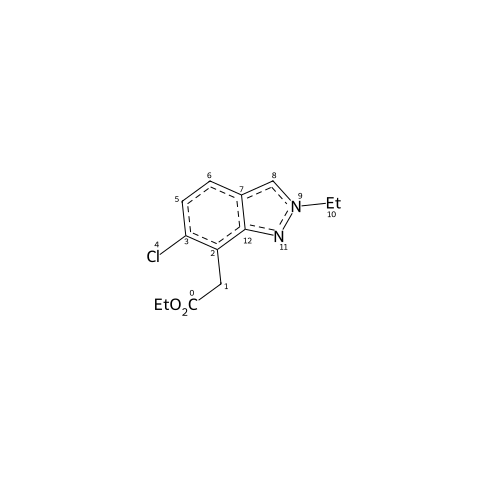 CCOC(=O)Cc1c(Cl)ccc2cn(CC)nc12